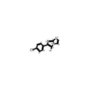 Clc1ccc(-c2nc3sccn3c2I)cc1